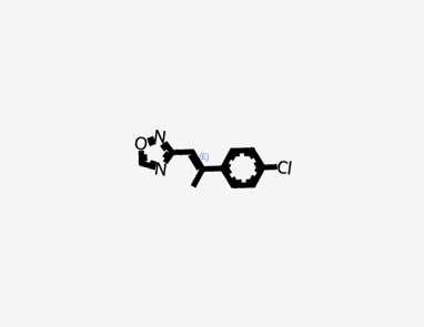 C/C(=C\c1ncon1)c1ccc(Cl)cc1